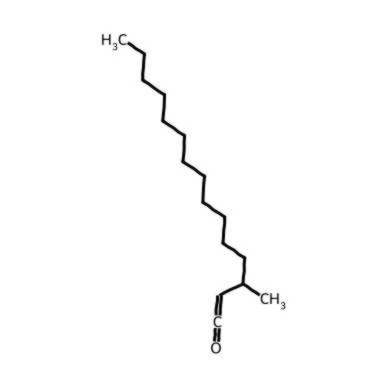 CCCCCCCCCCCCC(C)C=C=O